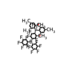 Cc1cc(C)c(P(c2c(C)cc(C)cc2C)c2c(F)c(F)c(B(c3c(F)c(F)c(F)c(F)c3F)c3c(F)c(F)c(F)c(F)c3F)c(F)c2F)c(C)c1